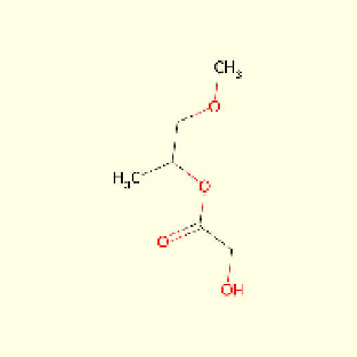 COCC(C)OC(=O)CO